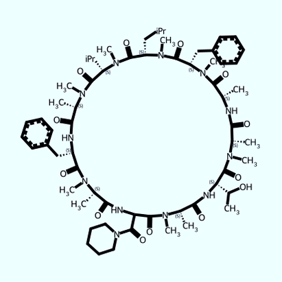 CC(C)C[C@H]1C(=O)N(C)[C@@H](C(C)C)C(=O)N(C)[C@@H](C)C(=O)N[C@@H](Cc2ccccc2)C(=O)N(C)[C@@H](C)C(=O)NC(C(=O)N2CCCCC2)C(=O)N(C)[C@@H](C)C(=O)N[C@@H](C(C)O)C(=O)N(C)[C@@H](C)C(=O)N[C@@H](C)C(=O)N(C)[C@@H](Cc2ccccc2)C(=O)N1C